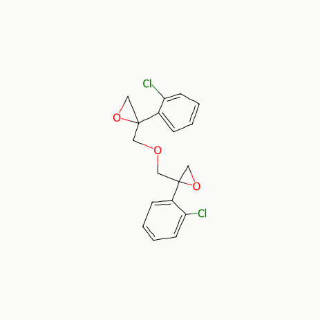 Clc1ccccc1C1(COCC2(c3ccccc3Cl)CO2)CO1